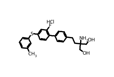 Cc1cccc(Sc2ccc(-c3ccc(CCC(N)(CO)CO)cc3)c(F)c2)c1.Cl